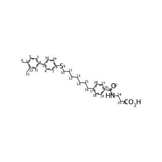 Cc1ccc(-c2ccc(SCCCCCCCc3ccc(C(=O)NCCC(=O)O)cc3)cc2)cc1C